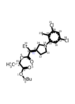 CCCCOC(=O)[C@H](C)OC(=O)/C(CC)=C1\CCN(c2cc(Cl)cc(Cl)c2I)C1